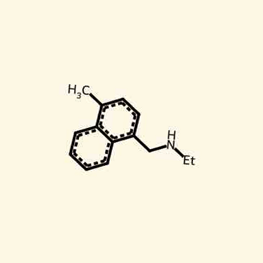 CCNCc1ccc(C)c2ccccc12